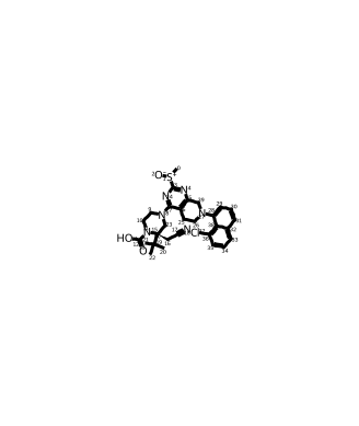 C[S+]([O-])c1nc2c(c(N3CCN(C(=O)O)[C@@](CC#N)(C(C)(C)C)C3)n1)CCN(c1cccc3cccc(Cl)c13)C2